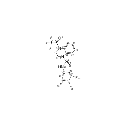 CC(C)(C)C(=O)N1CCN(C(=O)Nc2cc(F)c(F)c(F)c2)c2ccccc21